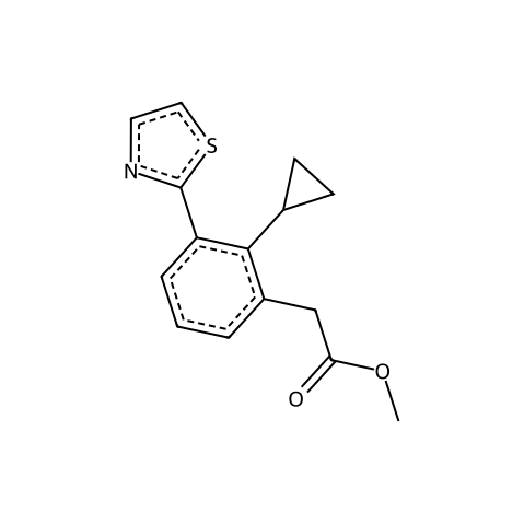 COC(=O)Cc1cccc(-c2nccs2)c1C1CC1